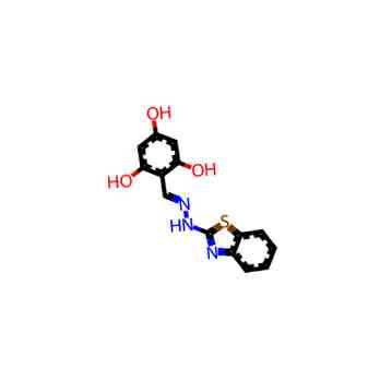 Oc1cc(O)c(C=NNc2nc3ccccc3s2)c(O)c1